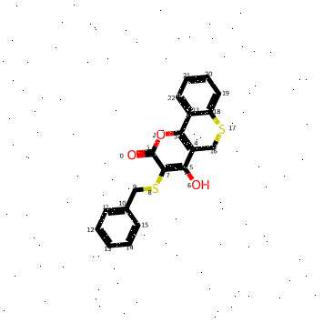 O=c1oc2c(c(O)c1SCc1ccccc1)CSc1ccccc1-2